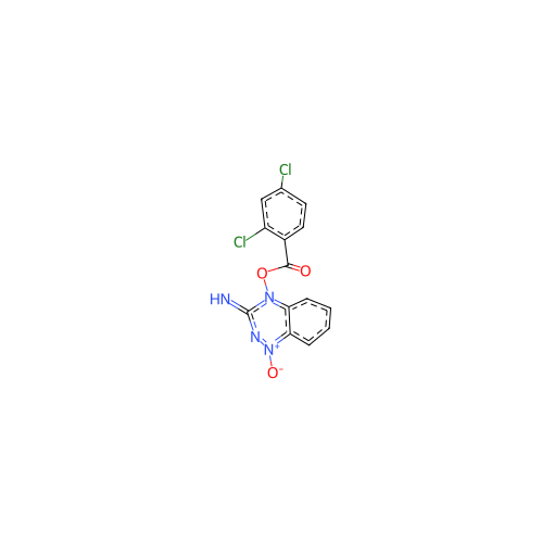 N=c1n[n+]([O-])c2ccccc2n1OC(=O)c1ccc(Cl)cc1Cl